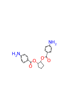 Nc1ccc(C(=O)OC2CCCC2OC(=O)c2ccc(N)cc2)cc1